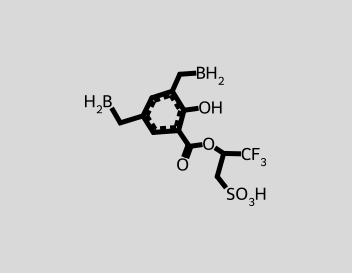 BCc1cc(CB)c(O)c(C(=O)OC(CS(=O)(=O)O)C(F)(F)F)c1